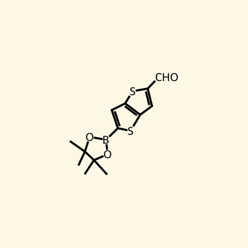 CC1(C)OB(c2cc3sc(C=O)cc3s2)OC1(C)C